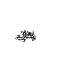 Cn1nnc(N(Cc2cc(C(F)(F)F)cc(C(F)(F)F)c2)Cc2cc3cc(F)c(F)cc3nc2N2CCC[C@@H]2[C@H]2CC[C@H](C(=O)O)CC2)n1